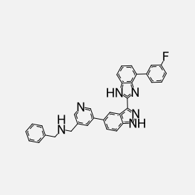 Fc1cccc(-c2cccc3[nH]c(-c4n[nH]c5ccc(-c6cncc(CNCc7ccccc7)c6)cc45)nc23)c1